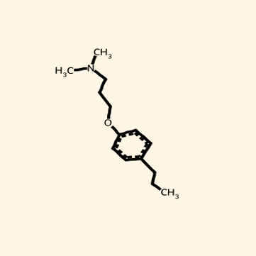 CCCc1ccc(OCCCN(C)C)cc1